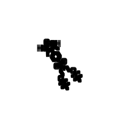 CCC(CC)(c1ccc(S(=O)(=O)N(CCO[Si](C)(C)C(C)(C)C)CCO[Si](C)(C)C(C)(C)C)cc1)P(=O)(O)O